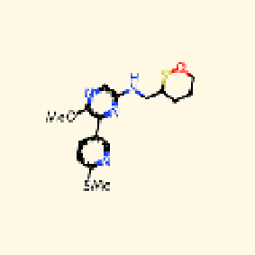 COc1ncc(NCC2CCCOS2)nc1-c1ccc(SC)nc1